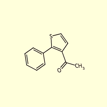 CC(=O)c1ccsc1-c1ccccc1